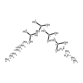 OB(O)O.OB(O)O.OB(O)O.OB(O)O.P.P.P.P.P.P.P.P.P.P.P.P